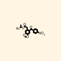 CC(=O)C(C)OC(=O)Cc1cc2c(cc1C(=O)c1ccc([N+](=O)[O-])cc1)OCO2